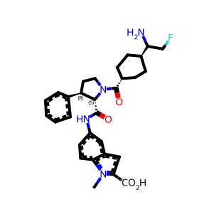 Cn1c(C(=O)O)cc2cc(NC(=O)[C@@H]3[C@@H](c4ccccc4)CCN3C(=O)[C@H]3CC[C@H](C(N)CF)CC3)ccc21